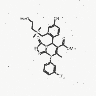 COCC[N+](C)(C)Cc1cc(C#N)ccc1C1C(C(=O)OC)=C(C)N(c2cccc(C(F)(F)F)c2)c2n[nH]c(=O)n21